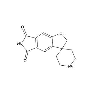 O=C1NC(=O)c2cc3c(cc21)OCC31CCNCC1